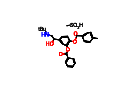 CS(=O)(=O)O.Cc1ccc(C(=O)Oc2ccc(C(O)CNC(C)(C)C)cc2OC(=O)c2ccccc2)cc1